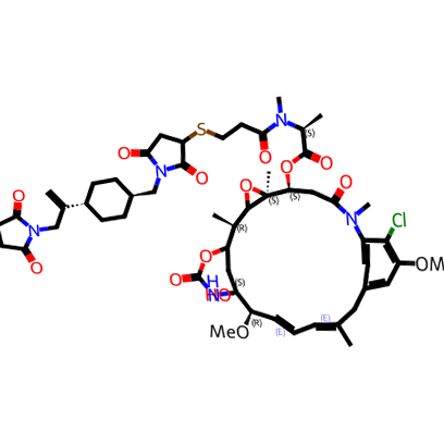 C=C(CN1C(=O)CCC1=O)[C@H]1CC[C@H](CN2C(=O)CC(SCCC(=O)N(C)[C@@H](C)C(=O)O[C@H]3CC(=O)N(C)c4cc(cc(OC)c4Cl)C/C(C)=C/C=C/[C@@H](OC)[C@@]4(O)CC(OC(=O)N4)[C@@H](C)C4O[C@]43C)C2=O)CC1